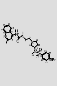 Cc1cc(NC(=O)NCCN2CCC(N(C)S(=O)(=O)c3ccc(Br)cc3)C2)c2ccccc2n1